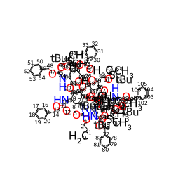 C=CCOC(=O)N[C@@H]1C[C@H](NC(=O)OCc2ccccc2)[C@@H](O[C@H]2O[C@@H]3COC(c4ccccc4)O[C@H]3[C@H](O[Si](C)(C)C(C)(C)C)[C@H]2NC(=O)OCc2ccccc2)[C@H](O[C@@H]2O[C@H](CO[Si](C)(C)C(C)(C)C)[C@@H](O[C@H]3O[C@@H](CNC(=O)OCc4ccccc4)[C@@H](O[Si](C)(C)C(C)(C)C)[C@H](O[Si](C)(C)C(C)(C)C)[C@H]3NC(=O)OCc3ccccc3)[C@H]2O[Si](C)(C)C(C)(C)C)[C@H]1OCC=C